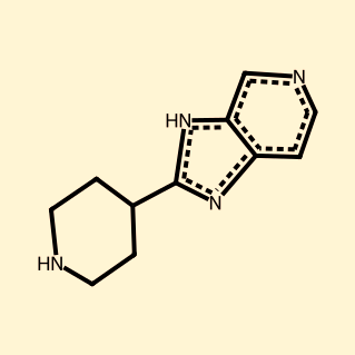 c1cc2nc(C3CCNCC3)[nH]c2cn1